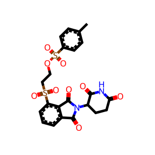 Cc1ccc(S(=O)(=O)OCCS(=O)(=O)c2cccc3c2C(=O)N(C2CCC(=O)NC2=O)C3=O)cc1